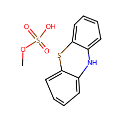 COS(=O)(=O)O.c1ccc2c(c1)Nc1ccccc1S2